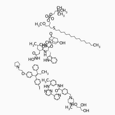 CC/C(=C(\c1ccc(I)cc1)c1ccc(OCCN2CCCC2)cc1)c1ccccc1.CCCCCCCCCCCCCCCCSCC(COC)COP(=O)([O-])OCC[N+](C)(C)C.CNC(=O)[C@H](Cc1c[nH]c2ccccc12)NC(=O)[C@@H](CC(=O)NO)CC(C)C.Cc1ccc(NC(=O)c2ccc(CN3CCN(C)CC3)cc2)cc1Nc1nccc(-c2cccnc2)n1.O=C1C2CC3CC1CC(O)(C3)C2.OCC(O)CO